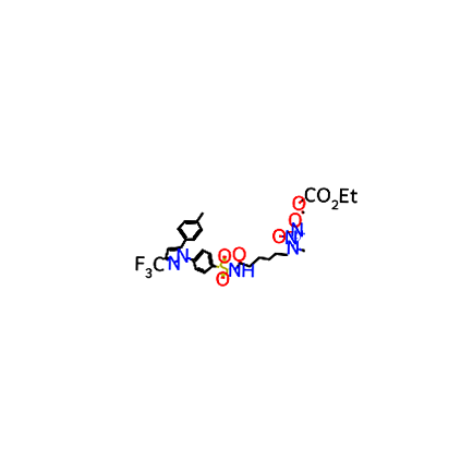 CCOC(=O)OCO/N=[N+](\[O-])N(C)CCCCCC(=O)NS(=O)(=O)c1ccc(-n2nc(C(F)(F)F)cc2-c2ccc(C)cc2)cc1